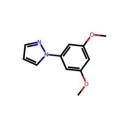 COc1cc(OC)cc(-n2c[c]cn2)c1